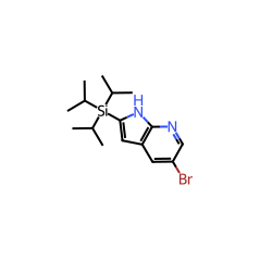 CC(C)[Si](c1cc2cc(Br)cnc2[nH]1)(C(C)C)C(C)C